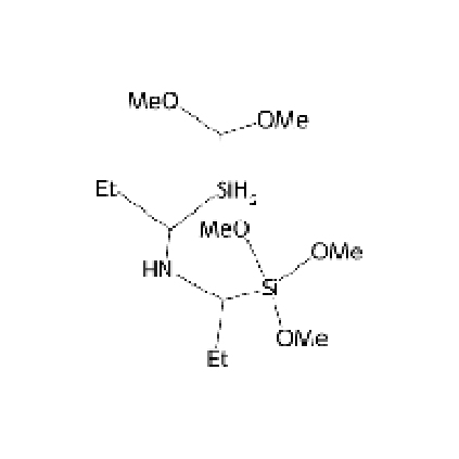 CCC(NC(CC)[Si](OC)(OC)OC)[SiH2]C(OC)OC